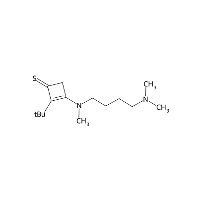 CN(C)CCCCN(C)C1=C(C(C)(C)C)C(=S)C1